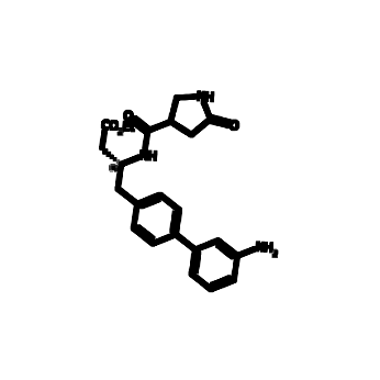 CCOC(=O)C[C@@H](Cc1ccc(-c2cccc(N)c2)cc1)NC(=O)C1CNC(=O)C1